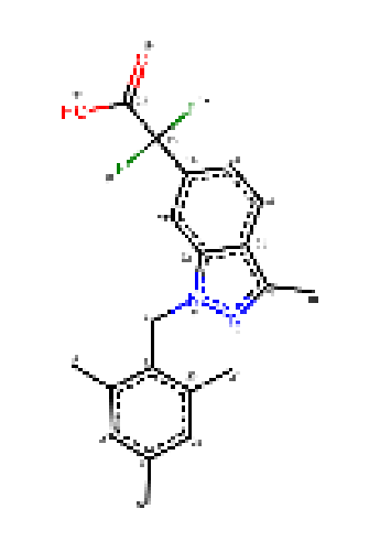 Cc1cc(C)c(Cn2nc(C)c3ccc(C(F)(F)C(=O)O)cc32)c(C)c1